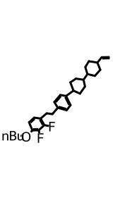 C=CC1CCC(C2CCC(c3ccc(CCc4ccc(OCCCC)c(F)c4F)cc3)CC2)CC1